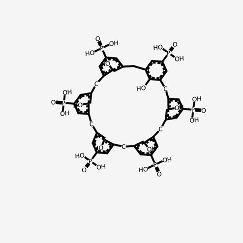 O=P(O)(O)c1cc2c(O)c(c1)Cc1cc(P(=O)(O)O)cc(c1O)Cc1cc(P(=O)(O)O)cc(c1O)Cc1cc(P(=O)(O)O)cc(c1O)Cc1cc(P(=O)(O)O)cc(c1O)Cc1cc(P(=O)(O)O)cc(c1O)C2